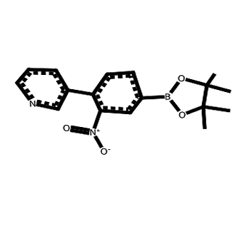 CC1(C)OB(c2ccc(-c3cccnc3)c([N+](=O)[O-])c2)OC1(C)C